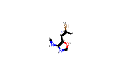 C=Nc1ncoc1/C=C(\C)S